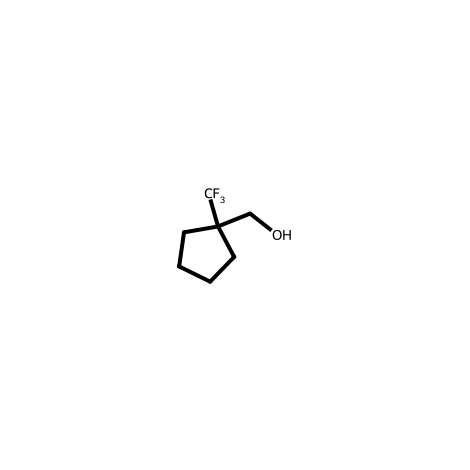 OCC1(C(F)(F)F)CCCC1